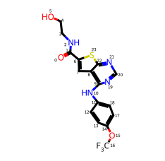 O=C(NCCO)c1cc2c(Nc3ccc(OC(F)(F)F)cc3)ncnc2s1